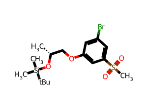 C[C@H](COc1cc(Br)cc(S(C)(=O)=O)c1)O[Si](C)(C)C(C)(C)C